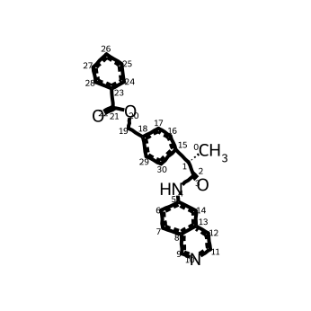 C[C@H](C(=O)Nc1ccc2cnccc2c1)c1ccc(COC(=O)c2ccccc2)cc1